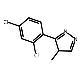 Clc1ccc(C2=NN=CC2I)c(Cl)c1